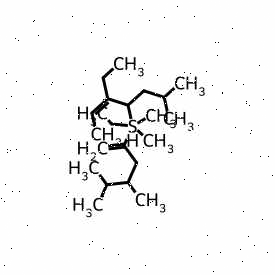 C=C(CC(C)C(C)C)[SH](C)(C)(CC)C(CC(C)C)/C(=C\C)CC